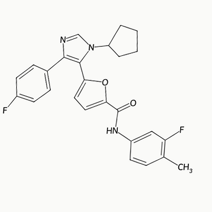 Cc1ccc(NC(=O)c2ccc(-c3c(-c4ccc(F)cc4)ncn3C3CCCC3)o2)cc1F